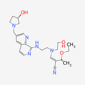 C=C(OCC)/C(C#N)=C\N(CCO)CCNc1nccc2cc(CN3CC[C@@H](O)C3)cnc12